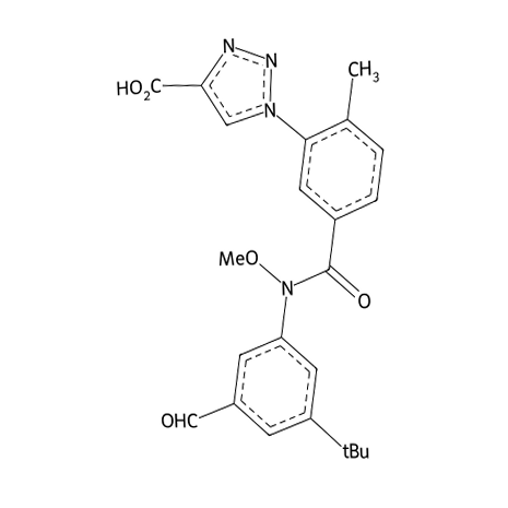 CON(C(=O)c1ccc(C)c(-n2cc(C(=O)O)nn2)c1)c1cc(C=O)cc(C(C)(C)C)c1